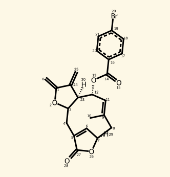 C=C1OC2CC3=C[C@@H](C/C(C)=C/[C@@H](OC(=O)c4ccc(Br)cc4)[C@@H]2C1=C)OC3=O